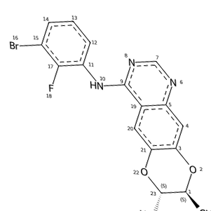 C[C@@H]1Oc2cc3ncnc(Nc4cccc(Br)c4F)c3cc2O[C@H]1C